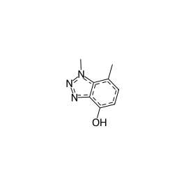 Cc1ccc(O)c2nnn(C)c12